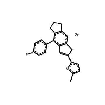 Cc1ccc(C2=Cc3c(cc4c(c3-c3ccc(F)cc3)CCC4)[CH]2)o1.[Zr]